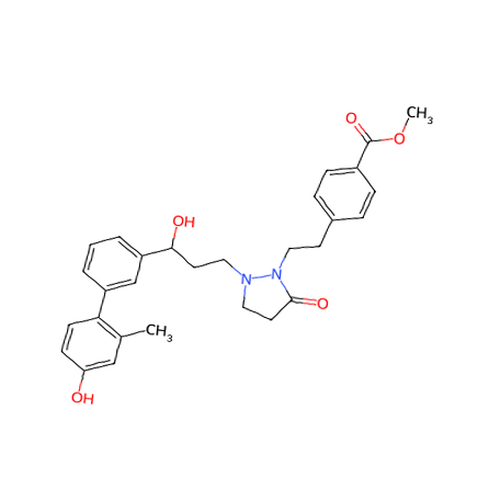 COC(=O)c1ccc(CCN2C(=O)CCN2CCC(O)c2cccc(-c3ccc(O)cc3C)c2)cc1